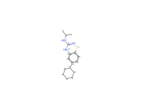 CC(C)NC1=NSc2ccc(C3CCCCC3)cc2N1